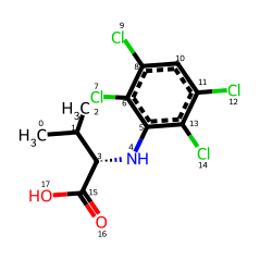 CC(C)[C@H](Nc1c(Cl)c(Cl)cc(Cl)c1Cl)C(=O)O